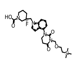 C[Si](C)(C)CCOCN1C(=O)CCN(c2cccc3c2ccn3C[C@]2(F)CCCN(C(=O)O)C2)C1=O